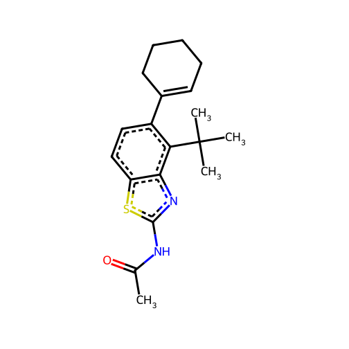 CC(=O)Nc1nc2c(C(C)(C)C)c(C3=CCCCC3)ccc2s1